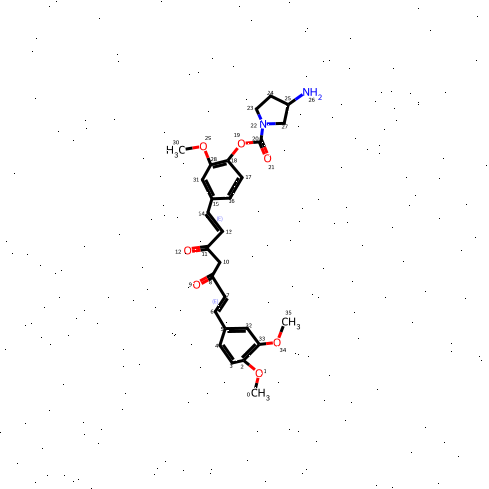 COc1ccc(/C=C/C(=O)CC(=O)/C=C/c2ccc(OC(=O)N3CCC(N)C3)c(OC)c2)cc1OC